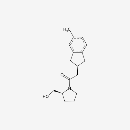 Cc1ccc2c(c1)C[C@H](CC(=O)N1CCC[C@H]1CO)C2